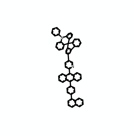 c1ccc(N2c3ccccc3C3(c4ccccc4-c4cc(-c5ccc(-c6c7ccccc7c(-c7ccc(-c8cccc9ccccc89)cc7)c7ccccc67)nc5)ccc43)c3ccccc32)cc1